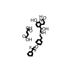 O=C(O)C=CC(=O)O.O=c1ccc2c([C@@H](O)CNCCc3ccc(OCC(F)(F)c4ccccc4)cc3)ccc(O)c2[nH]1